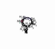 COC1CC(C[C@@H](C)[C@@H]2CC(=O)C(C)/C=C(\C)[C@@H](O)C(OC)C(=O)C(C)C[C@H](C)/C=C/C=C/C=C(\C)[C@@H](OC)CC3CCC(C)C(O)(O3)C(=O)C(=O)N3CCCCC3C(=O)O2)CCC1n1cnnn1